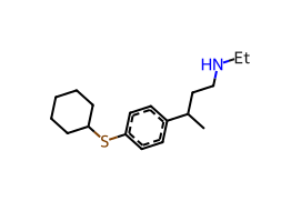 CCNCCC(C)c1ccc(SC2CCCCC2)cc1